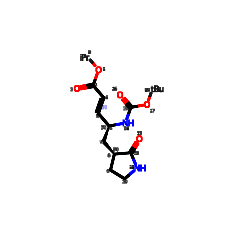 CC(C)OC(=O)/C=C/[C@H](C[C@@H]1CCNC1=O)NC(=O)OC(C)(C)C